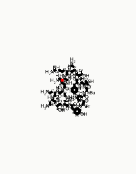 CC[C@H](C)[C@H](NC(=O)[C@@H]1C[C@@H](O)CN1C(=O)[C@@H](N)C(C)C)C(=O)N[C@H](C(=O)N[C@@H](Cc1ccc(O)cc1)C(=O)N[C@H](C(=O)N[C@@H](CC(N)=O)C(=O)N[C@@H](CCCNC(=N)N)C(=O)N[C@@H](CCN)C(=O)N[C@H](C(=O)N[C@H](CCN)C(=O)N[C@@H](CCN)C(=O)N[C@@H](CCN)C(=O)N[C@@H](CO)C(=O)N[C@@H](CS)C(=O)N[C@@H](Cc1ccc(O)cc1)C(=O)O)[C@@H](C)O)[C@@H](C)O)C(C)(C)S